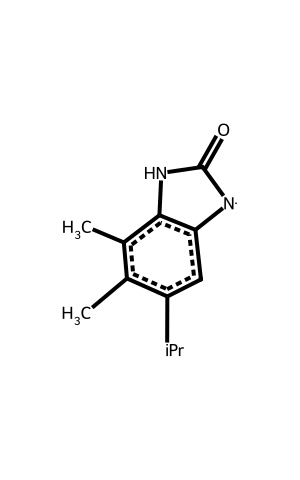 Cc1c(C(C)C)cc2c(c1C)NC(=O)[N]2